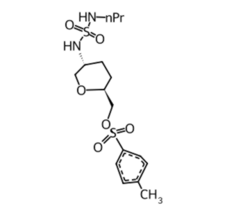 CCCNS(=O)(=O)N[C@@H]1CC[C@@H](COS(=O)(=O)c2ccc(C)cc2)OC1